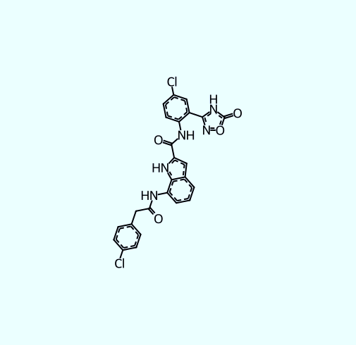 O=C(Cc1ccc(Cl)cc1)Nc1cccc2cc(C(=O)Nc3ccc(Cl)cc3-c3noc(=O)[nH]3)[nH]c12